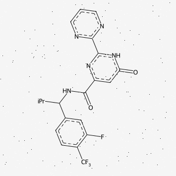 CC(C)C(NC(=O)c1cc(=O)[nH]c(-c2ncccn2)n1)c1ccc(C(F)(F)F)c(F)c1